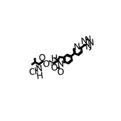 CC(C)[C@H](NCl)C(=O)OC[C@@H]1OC(=O)N2c3ccc(-c4ccc(-c5nnnn5C)nc4)cc3C[C@@H]12